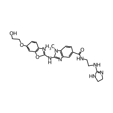 Cn1c(Nc2nc3ccc(OCCO)cc3o2)nc2cc(C(=O)NCCNC3=NCCN3)ccc21